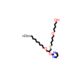 CCCCCCCCCCCCCCCCCCOCC(CSCCCCCOCCCCCO)Oc1ncccn1